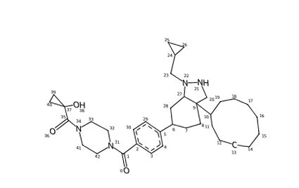 O=C(c1ccc(C2CCC3(C4CCCCCCCCC4)CNN(CC4CC4)C3C2)cc1)N1CCN(C(=O)C2(O)CC2)CC1